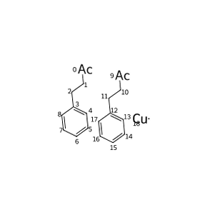 CC(=O)CCc1ccccc1.CC(=O)CCc1ccccc1.[Cu]